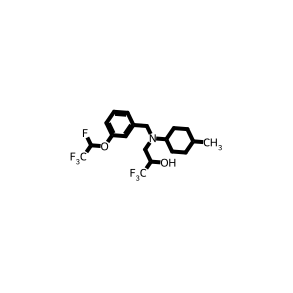 CC1CCC(N(Cc2cccc(OC(F)C(F)(F)F)c2)CC(O)C(F)(F)F)CC1